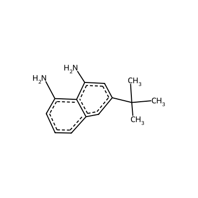 CC(C)(C)c1cc(N)c2c(N)cccc2c1